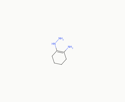 NNC1=C(N)CCCC1